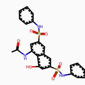 CC(=O)Nc1cc(S(=O)(=O)Nc2ccccc2)cc2cc(S(=O)(=O)Nc3ccccc3)cc(O)c12